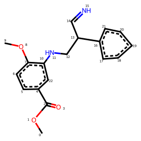 COC(=O)c1ccc(OC)c(NCC(C=N)c2ccccc2)c1